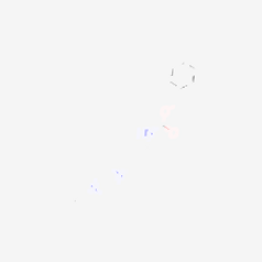 CN1CCN([C@H]2CCC[C@@H](NC(=O)OCc3ccccc3)C2)CC1